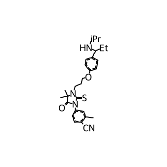 CCC(NC(C)C)c1ccc(OCCCN2C(=S)N(c3ccc(C#N)c(C)c3)C(=O)C2(C)C)cc1